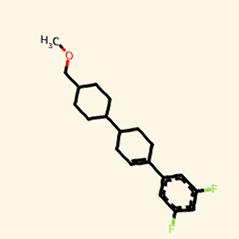 COCC1CCC(C2CC=C(c3cc(F)cc(F)c3)CC2)CC1